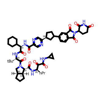 CCC[C@@H](NC(=O)[C@@H]1[C@H]2CCC[C@H]2CN1C(=O)[C@@H](NC(=O)[C@@H](NC(=O)c1cnc([C@H]2CCC(c3ccc4c(c3)C(=O)N(C3CCC(=O)NC3=O)C4=O)C2)cn1)C1CCCCC1)C(C)(C)C)C(=O)C(=O)NC1CC1